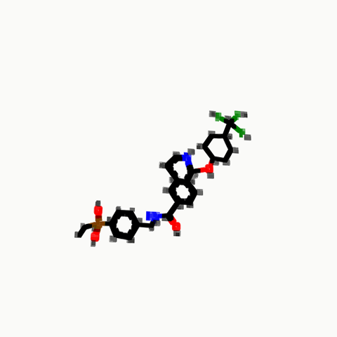 CCS(=O)(=O)c1ccc(CNC(=O)c2ccc3c(OC4CCC(C(F)(F)F)CC4)nccc3c2)cc1